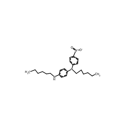 CCCCCCNc1ccc(N(CCCCCC)c2ccc([N+](=O)[O-])cc2)cc1